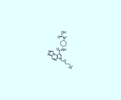 CN(C(=O)O)[C@H]1CC[C@H](NC(=O)c2cn(COCC[Si](C)(C)C)c3ncc4nncn4c23)CC1